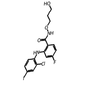 O=C(NOCCCO)c1ccc(F)cc1Nc1ccc(I)cc1Cl